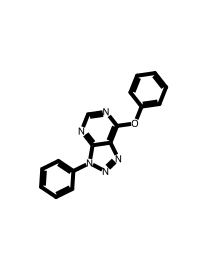 c1ccc(Oc2ncnc3c2nnn3-c2ccccc2)cc1